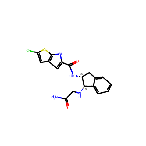 NC(=O)CN[C@H]1c2ccccc2C[C@H]1NC(=O)c1cc2cc(Cl)sc2[nH]1